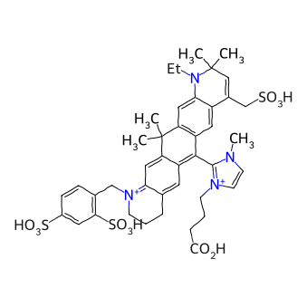 CCN1c2cc3c(cc2C(CS(=O)(=O)O)=CC1(C)C)C(c1n(C)cc[n+]1CCCC(=O)O)=c1cc2c(cc1C3(C)C)=[N+](Cc1ccc(S(=O)(=O)O)cc1S(=O)(=O)O)CCC2